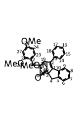 COC1=NC23Cc4ccccc4C2=C(c2ccccc2)C1N(Cc1ccc(OC)cc1OC)C3=O